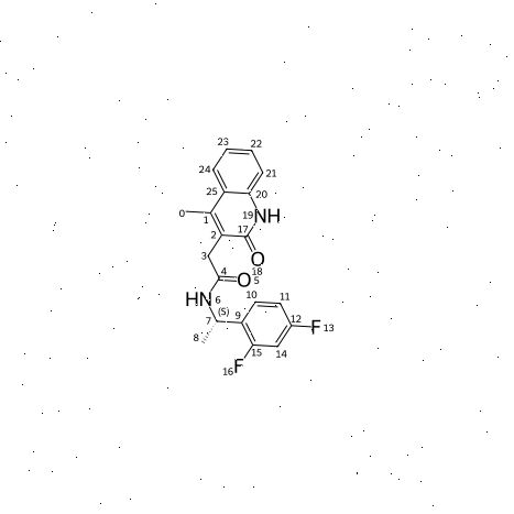 Cc1c(CC(=O)N[C@@H](C)c2ccc(F)cc2F)c(=O)[nH]c2ccccc12